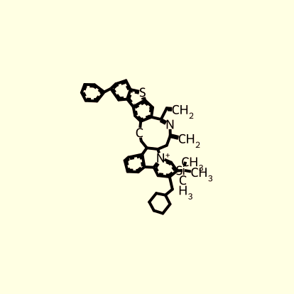 C=C/C1=N/C(=C)CC2C(CCc3cc4c(cc31)sc1ccc(-c3ccccc3)cc14)c1ccccc1-c1cc(CC3CCCCC3)c([Si](C)(C)C)c[n+]12